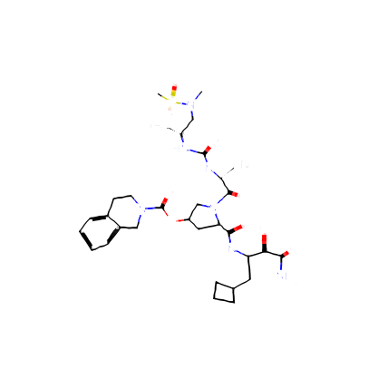 CN(C[C@@H](NC(=O)N[C@H](C(=O)N1CC(OC(=O)N2CCc3ccccc3C2)CC1C(=O)NC(CC1CCC1)C(=O)C(N)=O)C(C)(C)C)C(C)(C)C)S(C)(=O)=O